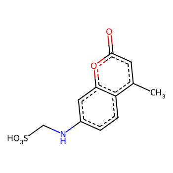 Cc1cc(=O)oc2cc(NCS(=O)(=O)O)ccc12